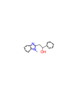 Cn1c(CC(O)c2ccccc2)nc2ccccc21